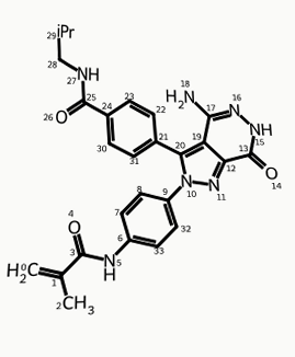 C=C(C)C(=O)Nc1ccc(-n2nc3c(=O)[nH]nc(N)c3c2-c2ccc(C(=O)NCC(C)C)cc2)cc1